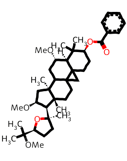 CO[C@H]1C[C@@]2(C)C3C[C@H](OC)[C@H]4C(C)(C)[C@@H](OC(=O)c5ccccc5)CCC45CC35CC[C@]2(C)[C@H]1[C@@]1(C)CC[C@@H](C(C)(C)OC)O1